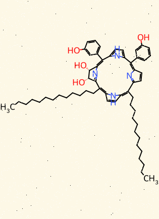 CCCCCCCCCCCCCc1c2nc(c(-c3cccc(O)c3)c3ccc([nH]3)c(-c3cccc(O)c3)c3nc(c(CCCCCCCCCCCCC)c4ccc1[nH]4)[C@H](O)[C@@H]3O)C=C2